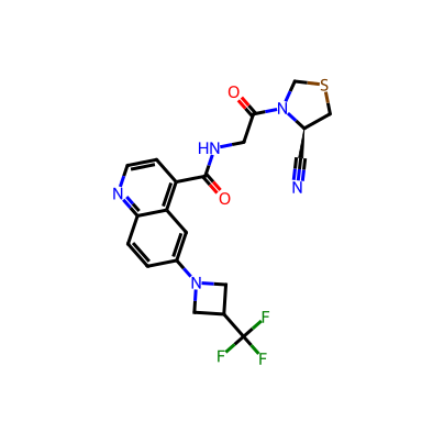 N#C[C@@H]1CSCN1C(=O)CNC(=O)c1ccnc2ccc(N3CC(C(F)(F)F)C3)cc12